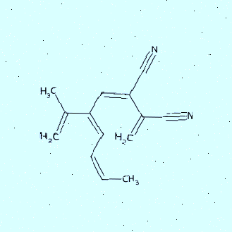 C=C(C)C(=C\C=C/C)/C=C(/C#N)C(=C)C#N